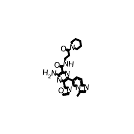 Cc1cnc2ccc(-c3nc(C(=O)NCCC(=O)N4CCCCC4)c(N)nc3-c3ncco3)cn12